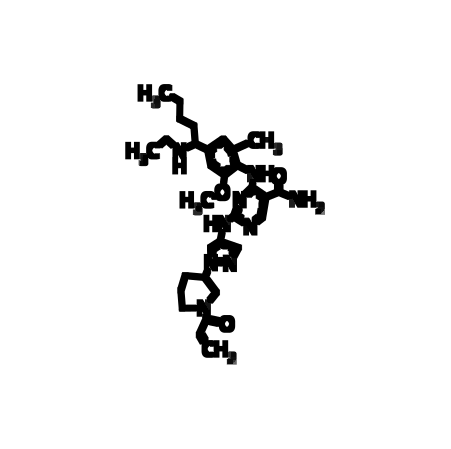 C=CC(=O)N1CCCC(n2cc(Nc3ncc(C(N)=O)c(Nc4c(C)cc(C(CCCC)NCC)cc4OC)n3)cn2)C1